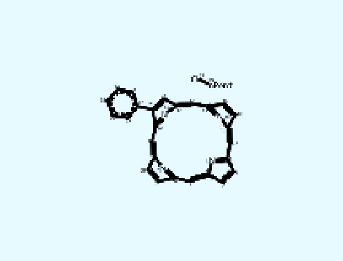 C1=CC2=NC1=CC1=NC(=CC3=NC(=CC4=NC(=C2)C=C4)C=C3c2ccccc2)C=C1.CCCCCCl